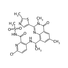 Cc1cc([C@@H](C)Nc2ccc(Cl)nc2C(=O)NS(C)(=O)=O)c2nc(-c3cnc(C)s3)n(C)c(=O)c2c1